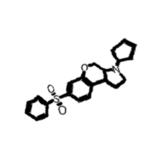 O=S(=O)(c1ccccc1)c1ccc2c(c1)OCC1C2CCN1C1CCCC1